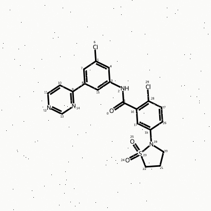 O=C(Nc1cc(Cl)cc(-c2ccncn2)c1)c1cc(N2CCCS2(=O)=O)ccc1Cl